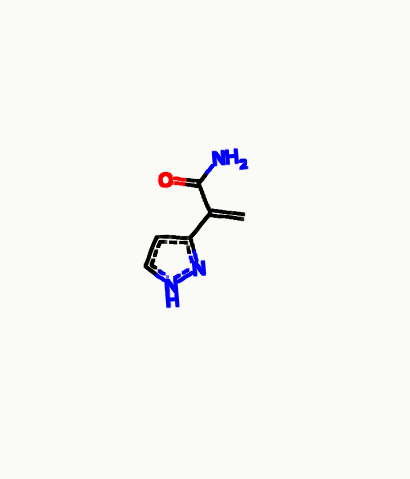 C=C(C(N)=O)c1cc[nH]n1